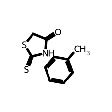 Cc1ccccc1.O=C1CSC(=S)N1